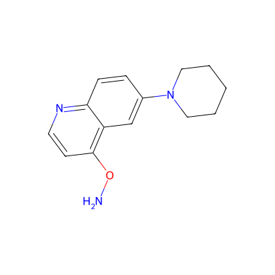 NOc1ccnc2ccc(N3CCCCC3)cc12